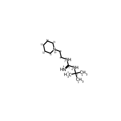 CC(C)(C)NC(=N)NCCN1CCCCC1